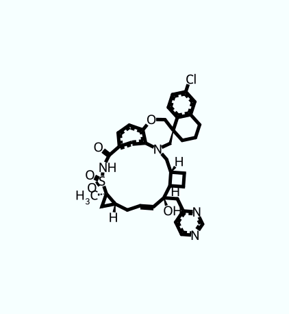 C[C@@]12C[C@H]1C/C=C/[C@@](O)(Cc1ccncn1)[C@@H]1CC[C@H]1CN1C[C@@]3(CCCc4cc(Cl)ccc43)COc3ccc(cc31)C(=O)NS2(=O)=O